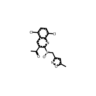 CC(=O)c1cc2c(Cl)ccc(Cl)c2nc1[S+]([O-])Cc1cc(C)on1